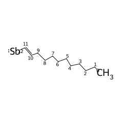 CCCCCCCCCC/C=[CH]/[Sb]